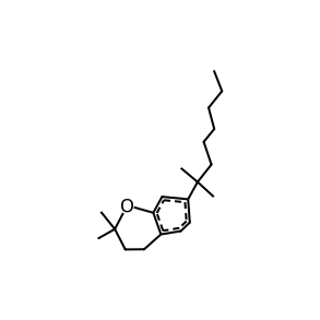 CCCCCCC(C)(C)c1ccc2c(c1)OC(C)(C)CC2